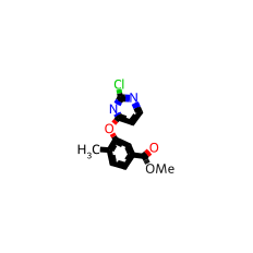 COC(=O)c1ccc(C)c(Oc2ccnc(Cl)n2)c1